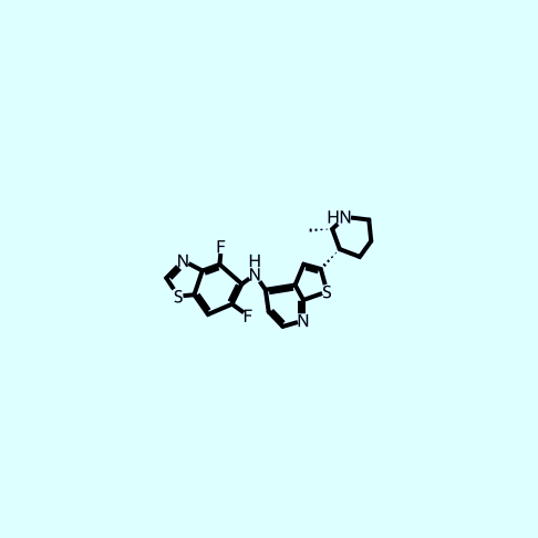 C[C@@H]1NCCC[C@@H]1c1cc2c(Nc3c(F)cc4scnc4c3F)ccnc2s1